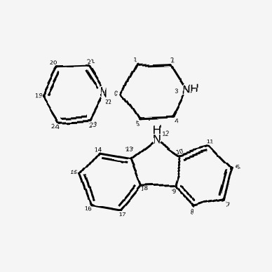 C1CCNCC1.c1ccc2c(c1)[nH]c1ccccc12.c1ccncc1